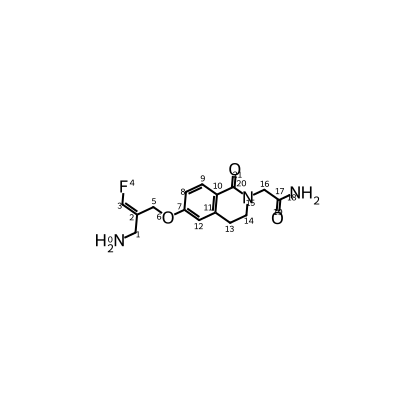 NC/C(=C/F)COc1ccc2c(c1)CCN(CC(N)=O)C2=O